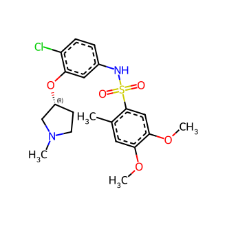 COc1cc(C)c(S(=O)(=O)Nc2ccc(Cl)c(O[C@@H]3CCN(C)C3)c2)cc1OC